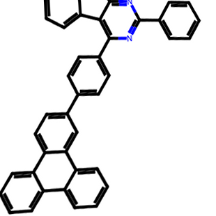 c1ccc(-c2nc(-c3ccc(-c4ccc5c6ccccc6c6ccccc6c5c4)cc3)c3c(n2)sc2ccccc23)cc1